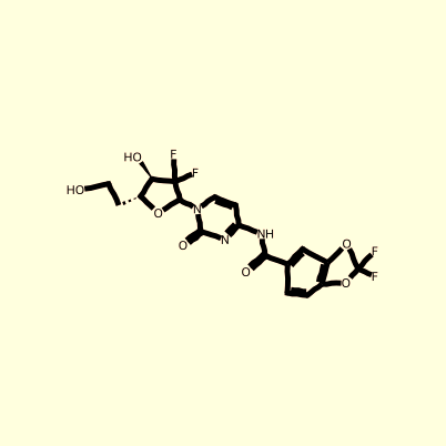 O=C(Nc1ccn(C2O[C@H](CCO)[C@@H](O)C2(F)F)c(=O)n1)c1ccc2c(c1)OC(F)(F)O2